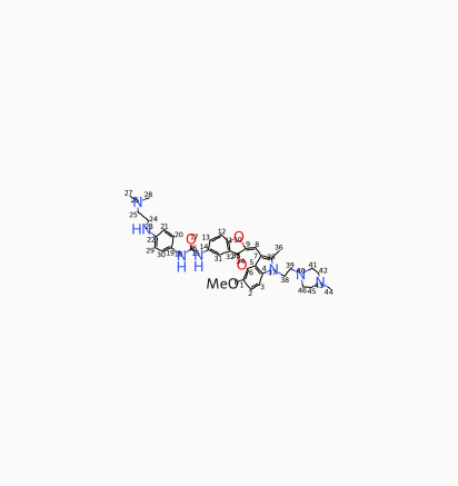 COc1ccc2c(c1)c(C=C1Oc3ccc(NC(=O)Nc4ccc(NCCN(C)C)cc4)cc3C1=O)c(C)n2CCN1CCN(C)CC1